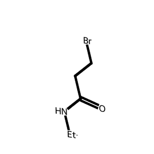 C[CH]NC(=O)CCBr